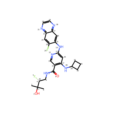 CC(C)(O)[C@H](F)CNC(=O)c1cnc(Nc2cc3nccnc3cc2F)cc1NC1CCC1